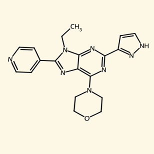 CCn1c(-c2ccncc2)nc2c(N3CCOCC3)nc(-c3cc[nH]n3)nc21